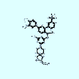 Cc1ccc(-c2ccc(C(Oc3cc(N4CCC5(CC4)CN[C@H](C(=O)O)C5)nc(N)n3)C(F)(F)F)c(-c3cccc(S(C)(=O)=O)c3)c2)cc1C